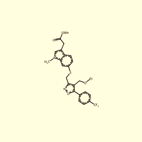 CCOCc1c(CSc2ccc3c(CC(=O)OC)cn(C)c3c2)noc1-c1ccc(C(F)(F)F)cc1